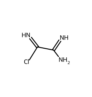 N=C(N)C(=N)Cl